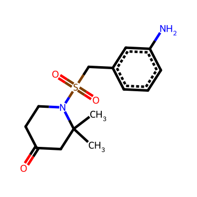 CC1(C)CC(=O)CCN1S(=O)(=O)Cc1cccc(N)c1